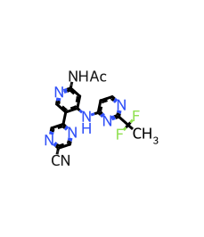 CC(=O)Nc1cc(Nc2ccnc(C(C)(F)F)n2)c(-c2cnc(C#N)cn2)cn1